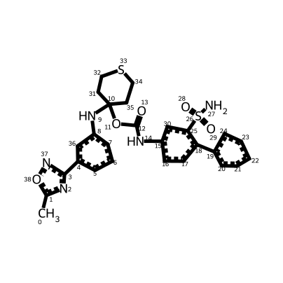 Cc1nc(-c2cccc(NC3(OC(=O)Nc4ccc(-c5ccccc5)c(S(N)(=O)=O)c4)CCSCC3)c2)no1